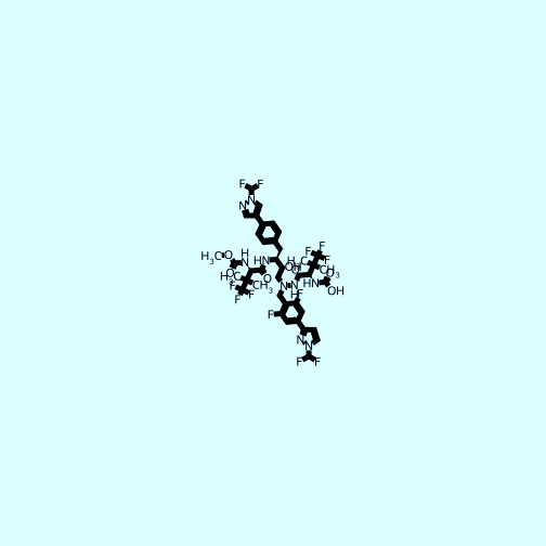 COC(=O)N[C@H](C(=O)N[C@@H](Cc1ccc(-c2cnn(C(F)F)c2)cc1)[C@@H](O)CN(Cc1c(F)cc(-c2ccn(C(F)F)n2)cc1F)NC(=O)[C@@H](NC(=O)O)C(C)(C)C(F)(F)F)C(C)(C)C(F)(F)F